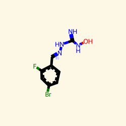 N=C(NO)N/N=C/c1ccc(Br)cc1F